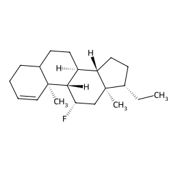 CC[C@H]1CC[C@H]2[C@@H]3CCC4CCC=C[C@]4(C)[C@H]3[C@@H](F)C[C@]12C